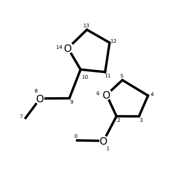 COC1CCCO1.COCC1CCCO1